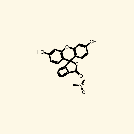 C[S+](C)[O-].O=C1OC2(c3ccc(O)cc3Oc3cc(O)ccc32)c2ccccc21